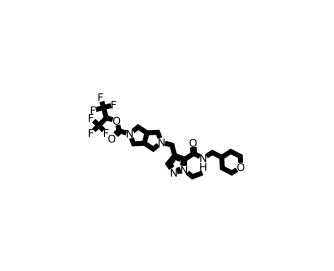 CCn1ncc(CN2CC3CN(C(=O)OC(C(F)(F)F)C(F)(F)F)CC3C2)c1C(=O)NCC1CCOCC1